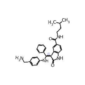 CC(C)CCNC(=O)c1ccc2c(c1)/C(=C(/Nc1ccc(CN)cc1)c1ccccc1)C(=O)N2